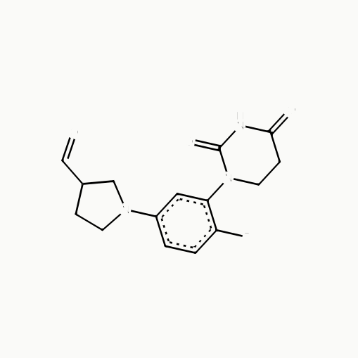 O=CC1CCN(c2ccc(F)c(N3CCC(=O)NC3=O)c2)C1